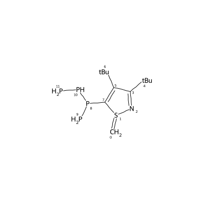 C=S1N=C(C(C)(C)C)C(C(C)(C)C)=C1P(P)PP